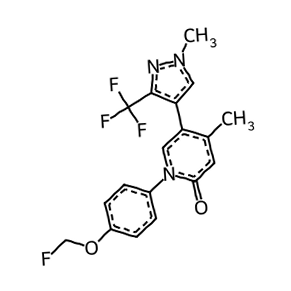 Cc1cc(=O)n(-c2ccc(OCF)cc2)cc1-c1cn(C)nc1C(F)(F)F